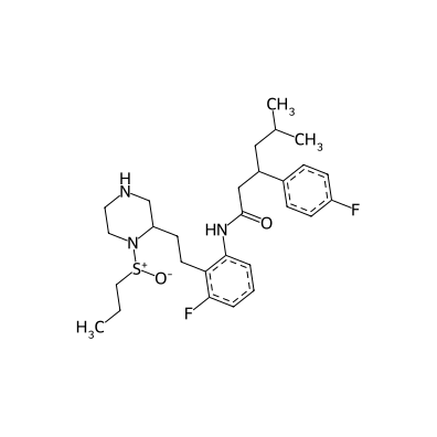 CCC[S+]([O-])N1CCNCC1CCc1c(F)cccc1NC(=O)CC(CC(C)C)c1ccc(F)cc1